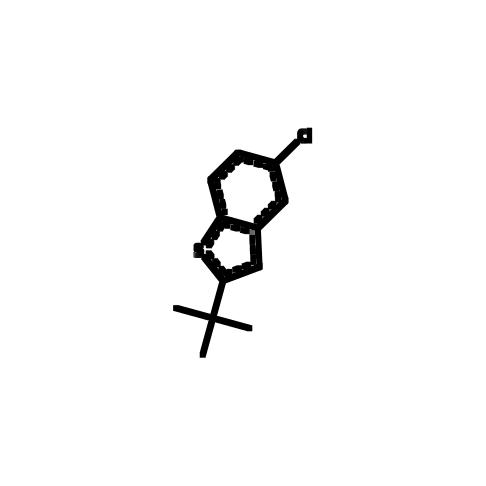 CC(C)(C)c1cc2cc(Cl)ccc2s1